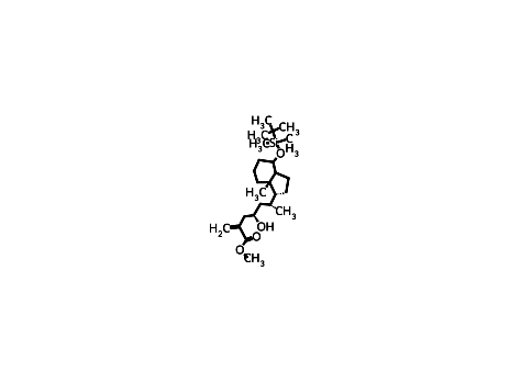 C=C(C[C@H](O)C[C@@H](C)[C@H]1CCC2C(O[Si](C)(C)C(C)(C)C)CCC[C@]21C)C(=O)OC